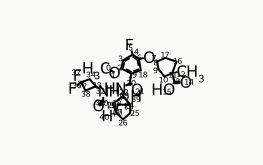 COc1cc(F)c(O[C@H]2CC[C@@](C)(C(=O)O)CC2)cc1C(=O)N[C@@H]1[C@H]2CC[C@H](C2)[C@@H]1C(=O)NC1CC(F)(F)C1